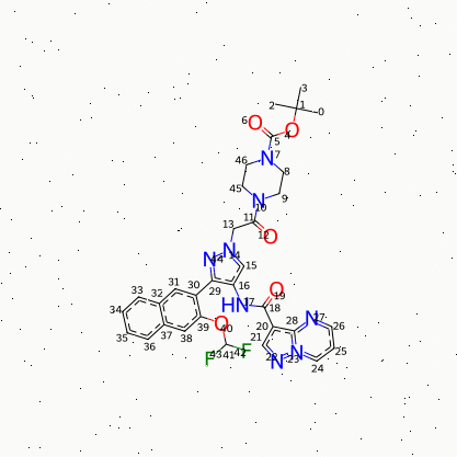 CC(C)(C)OC(=O)N1CCN(C(=O)Cn2cc(NC(=O)c3cnn4cccnc34)c(-c3cc4ccccc4cc3OC(F)F)n2)CC1